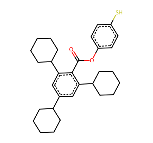 O=C(Oc1ccc(S)cc1)c1c(C2CCCCC2)cc(C2CCCCC2)cc1C1CCCCC1